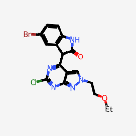 CCOCCn1cc2c(C3C(=O)Nc4ccc(Br)cc43)nc(Cl)nc2n1